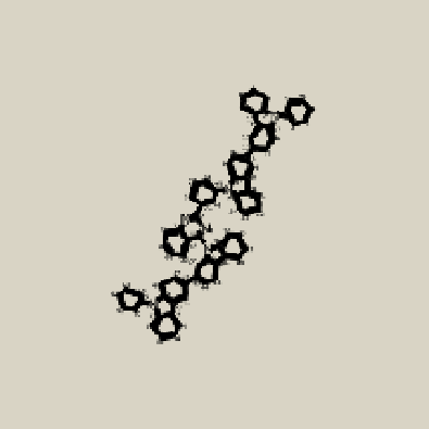 c1ccc(-n2c3ccccc3c3cc(-c4ccc5c(c4)c4ccccc4n5-c4cccc(-c5nc(-n6c7ccccc7c7ccc(-c8ccc9c(c8)c8ccccc8n9-c8ccccc8)cc76)c6ccccc6n5)c4)ccc32)cc1